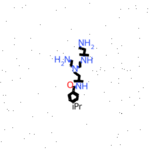 CC(C)c1ccc(C(=O)NC(C)(C)CCN(CCN)CCNC(C)(C)CCN)cc1